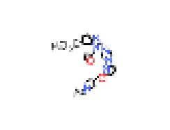 CC(=O)N1CCC(COc2cccc(N3CCN(Cc4nc5ccc(C(=O)O)cc5n4C[C@@H]4CCO4)CC3)n2)CC1